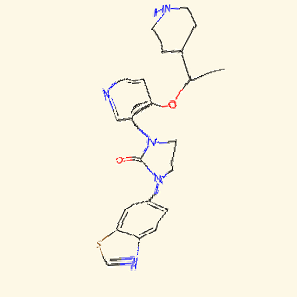 CC(Oc1ccncc1N1CCN(c2ccc3ncsc3c2)C1=O)C1CCNCC1